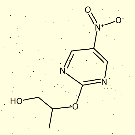 CC(CO)Oc1ncc([N+](=O)[O-])cn1